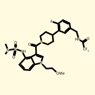 COCCn1cc(C(=O)N2CCC(c3cc(CNC(=O)C(F)(F)F)ccc3F)CC2)c2c(NS(=O)(=O)N(C)C)cccc21